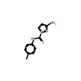 Cc1ccc(NC(=S)n2ccc(N)n2)cc1